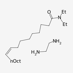 CCCCCCCC/C=C\CCCCCCCC(=O)N(CC)CC.NCCN